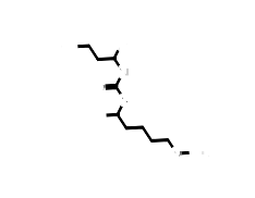 CC(C)(C)NCCCCC(NC(=O)NC(CCC(=O)O)C(=O)O)C(=O)O